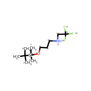 CC(C)(C)[Si](C)(C)OCCCNCC(F)(F)F